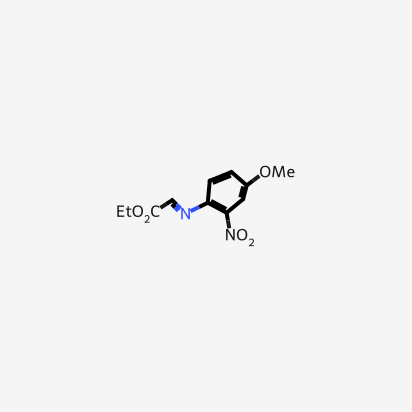 CCOC(=O)C=Nc1ccc(OC)cc1[N+](=O)[O-]